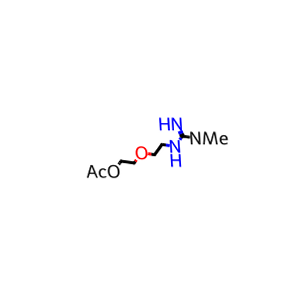 CNC(=N)NCCOCCOC(C)=O